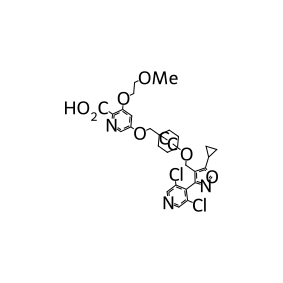 COCCOc1cc(OCC23CCC(OCc4c(-c5c(Cl)cncc5Cl)noc4C4CC4)(CC2)CC3)cnc1C(=O)O